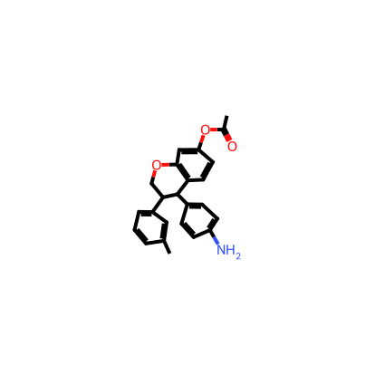 CC(=O)Oc1ccc2c(c1)OCC(c1cccc(C)c1)C2c1ccc(N)cc1